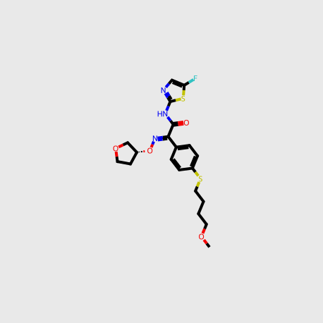 COCCCCSc1ccc(/C(=N\O[C@@H]2CCOC2)C(=O)Nc2ncc(F)s2)cc1